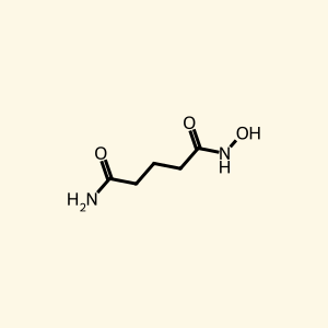 NC(=O)CCCC(=O)NO